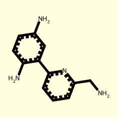 NCc1cccc(-c2cc(N)ccc2N)n1